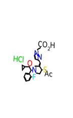 CC(=O)SC1CCN(C(C(=O)C2CC2)c2ccccc2F)CC1=Cc1ccn(CCC(=O)O)n1.Cl